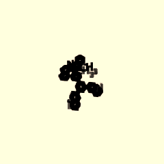 CC1(C)c2ccccc2-c2nc3ccc4ccccc4c3c(-c3ccc(-c4cc(-c5ccc6ncccc6c5)cc(-c5ccc6ncccc6c5)c4)cc3)c21